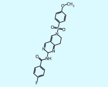 COc1ccc(S(=O)(=O)N2C=C3C=NC(NC(=O)c4ccc(F)cc4)N=C3CC2)cc1